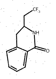 O=C1NC(CC(F)(F)F)Cc2ccccc21